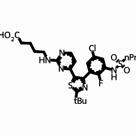 CCCS(=O)(=O)Nc1cc(Cl)cc(-c2nc(C(C)(C)C)sc2-c2ccnc(NCCCCC(=O)O)n2)c1F